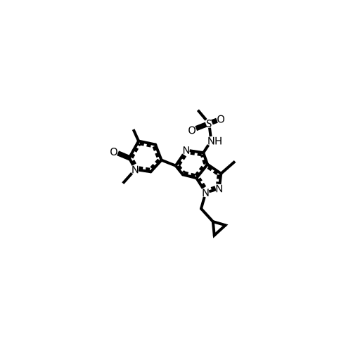 Cc1cc(-c2cc3c(c(C)nn3CC3CC3)c(NS(C)(=O)=O)n2)cn(C)c1=O